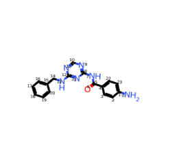 Nc1ccc(C(=O)Nc2ncnc(NCc3ccccc3)n2)cc1